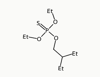 CCOP(=S)(OCC)OCC(CC)CC